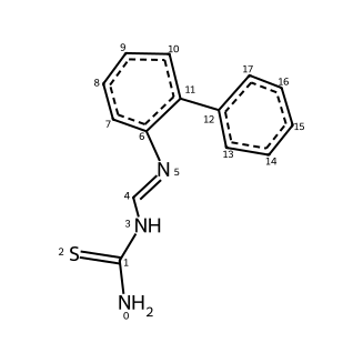 NC(=S)NC=Nc1ccccc1-c1ccccc1